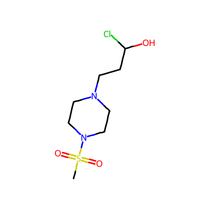 CS(=O)(=O)N1CCN(CCC(O)Cl)CC1